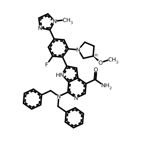 CO[C@@H]1CCN(c2cc(-c3nccn3C)cc(F)c2-c2cc3c(C(N)=O)cnc(N(Cc4ccccc4)Cc4ccccc4)c3[nH]2)C1